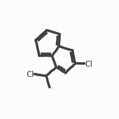 [CH2]C(Cl)c1cc(Cl)cc2ccccc12